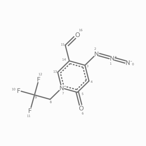 [N-]=[N+]=Nc1cc(=O)n(CC(F)(F)F)cc1C=O